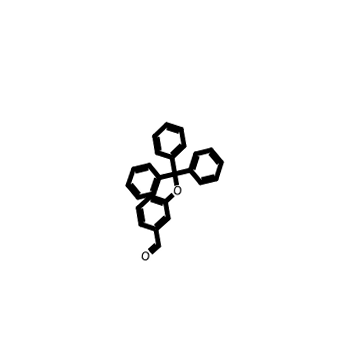 O=Cc1cccc(OC(c2ccccc2)(c2ccccc2)c2ccccc2)c1